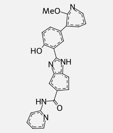 COc1ncccc1-c1ccc(O)c(-c2nc3cc(C(=O)Nc4ccccn4)ccc3[nH]2)c1